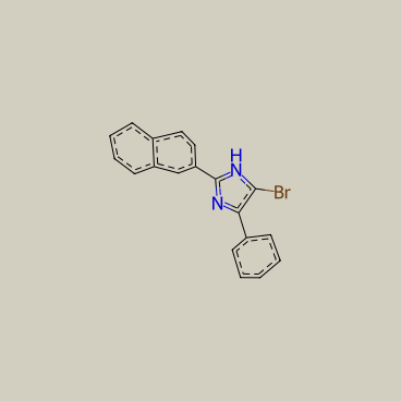 Brc1[nH]c(-c2ccc3ccccc3c2)nc1-c1ccccc1